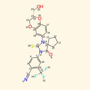 N#Cc1ccc(N2C(=O)C3(CCCC3)N(c3ccc4c(c3)OC[C@H](CO)O4)C2=S)cc1C(F)(F)F